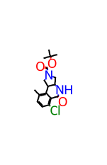 Cc1ccc(Cl)c2c1C1CN(C(=O)OC(C)(C)C)CC1NC2=O